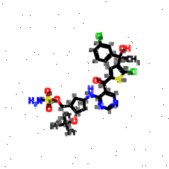 CC(C)[Si](O[C@H]1C[C@H](Nc2ncncc2C(=O)c2cc([C@@](C)(O)c3cccc(Cl)c3)c(Cl)s2)C[C@@H]1COS(N)(=O)=O)(C(C)C)C(C)C